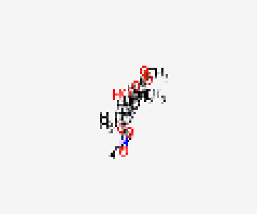 C[C@@H]1C[C@H](CS(C)(=O)=O)O[C@H]2[C@H]1[C@@]1(C)CC[C@@]34C[C@@]35CC[C@H](O[C@H]3CN(C(=O)CC6CC6)CCO3)C(C)(C)[C@@H]5CC[C@H]4[C@]1(C)[C@H]2O